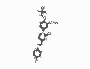 COc1cc(-n2ccc(COc3ccc(F)cc3)nc2=O)ccc1OCC(C)(C)O